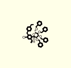 C=Cc1cc(Cl)c(Cc2ccc(CC)cc2)cc1[C@]1(O)O[C@H](COCc2ccccc2)[C@@H](OCc2ccccc2)[C@H](OCc2ccccc2)[C@H]1OCc1ccccc1